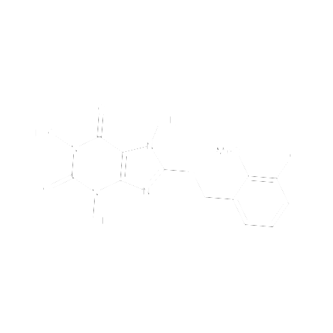 COc1c(Cl)cccc1CSc1nc2c(c(=O)n(C)c(=O)n2C)n1C